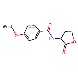 CCCCCOc1ccc(C(=O)N[C@H]2CCOC2=O)cc1